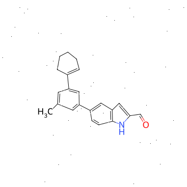 Cc1cc(C2=CCCCC2)cc(-c2ccc3[nH]c(C=O)cc3c2)c1